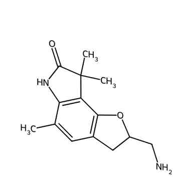 Cc1cc2c(c3c1NC(=O)C3(C)C)OC(CN)C2